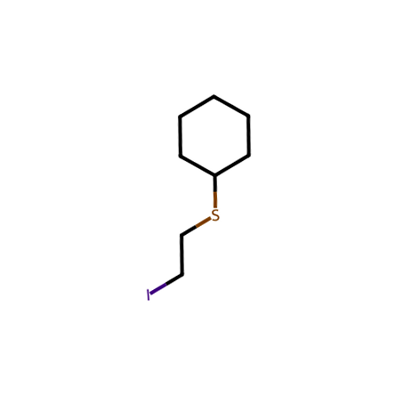 ICCSC1CCCCC1